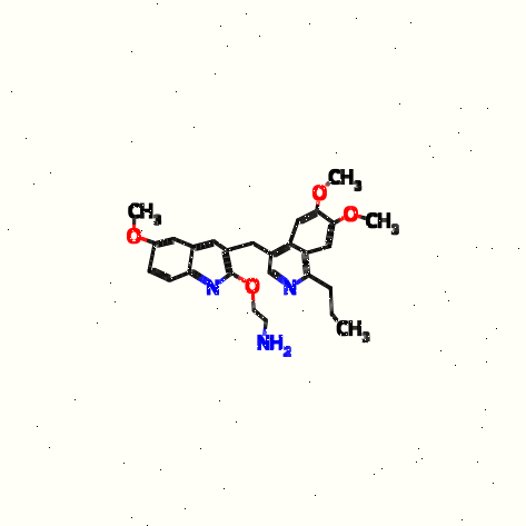 CCCc1ncc(Cc2cc3cc(OC)ccc3nc2OCCN)c2cc(OC)c(OC)cc12